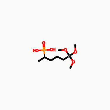 CO[Si](CCCC(C)P(=O)(O)O)(OC)OC